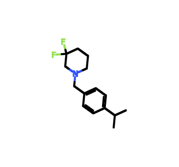 CC(C)c1ccc(CN2CCCC(F)(F)C2)cc1